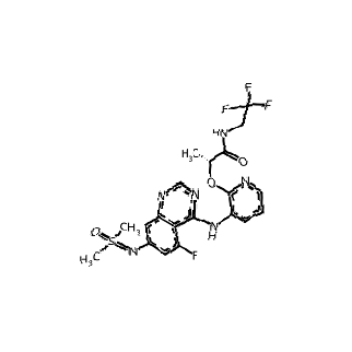 C[C@@H](Oc1ncccc1Nc1ncnc2cc(N=S(C)(C)=O)cc(F)c12)C(=O)NCC(F)(F)F